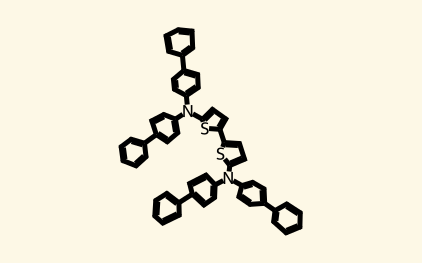 c1ccc(-c2ccc(N(c3ccc(-c4ccccc4)cc3)c3ccc(-c4ccc(N(c5ccc(-c6ccccc6)cc5)c5ccc(-c6ccccc6)cc5)s4)s3)cc2)cc1